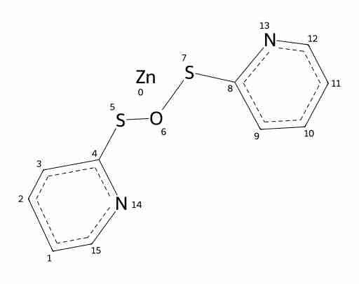 [Zn].c1ccc(SOSc2ccccn2)nc1